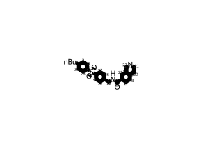 CCCCc1ccc(S(=O)(=O)c2ccc(CNC(=O)c3ccc4ccncc4c3)cc2)cc1